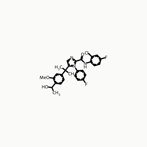 COc1cc(C(C)(C)c2cnc(C(=O)Nc3ccc(F)cc3Cl)n2-c2ccc(F)cc2)ccc1C(C)O